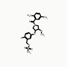 COC1CN(C(=O)c2cc(C)ccc2C)CC1Oc1ccc(F)c(COS(C)(=O)=O)c1